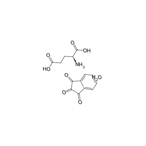 N[C@@H](CCC(=O)O)C(=O)O.O.O=c1c(=O)c2ccccc2c1=O